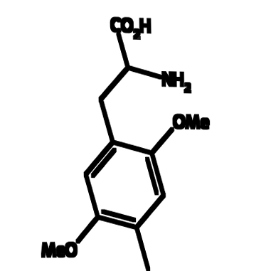 COc1cc(CC(N)C(=O)O)c(OC)cc1C